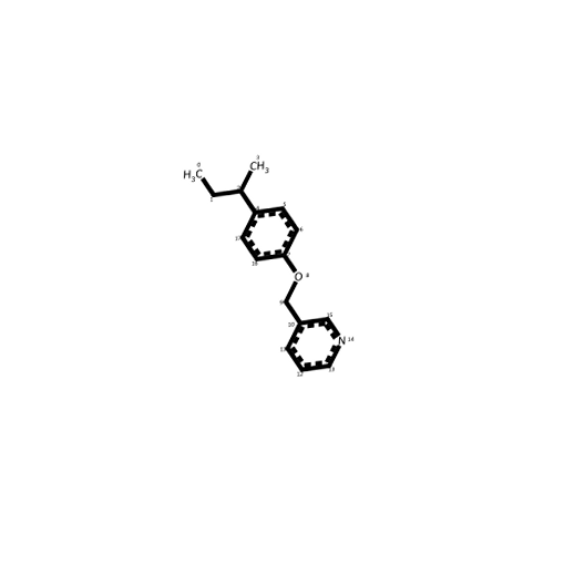 CCC(C)c1ccc(OCc2cccnc2)cc1